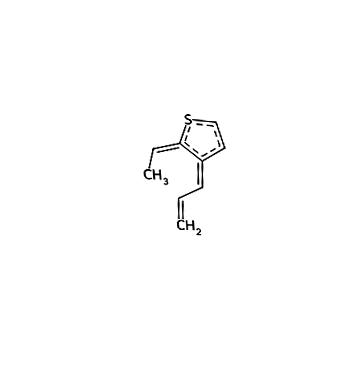 C=C/C=c1/ccs/c1=C/C